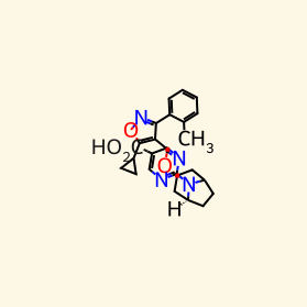 Cc1ccccc1-c1noc(C2CC2)c1CO[C@@H]1CC2CC[C@@H](C1)N2c1ncc(C(=O)O)cn1